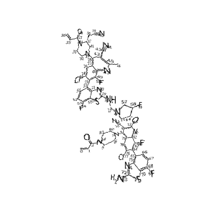 C=CC(=O)N1CCN(c2c(C#N)c(O[C@@H]3CN(CNc4nc5c(-c6c(Cl)cc7c(N8CCN(C(=O)C=C)[C@@H](CC#N)C8)c(C#N)c(C)nc7c6F)ccc(F)c5s4)C[C@H]3F)nc3c(F)c(-c4ccc(F)c5sc(N)nc45)c(Cl)cc23)CC1